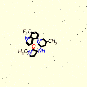 C[C@H]1C[C@@H](N[C@@H]2CCN(C)C2=O)CN(c2ccc(C(F)(F)F)c3ncccc23)C1